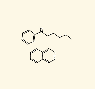 CCCCCNc1ccccc1.c1ccc2ccccc2c1